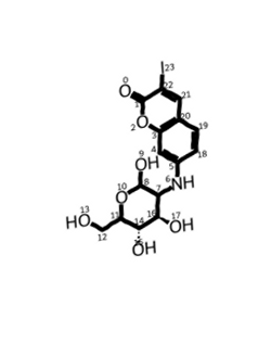 O=c1oc2cc(NC3C(O)OC(CO)[C@@H](O)[C@@H]3O)ccc2cc1I